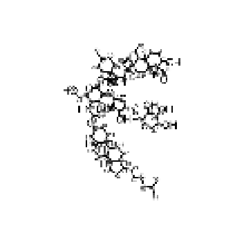 CCC1C2(C)CCC(O)C(C)(C=O)[C@@H]2CC[C@@]12C=C1C3C[C@H](C)CCC3(C(=O)O[C@@H]3O[C@H](CO)C(NC(=O)O[C@H]4CCC5(C)C6CCC7(C)C(CCCCC(C)C)CC[C@H]7[C@@H]6CC[C@H]5C4)C(O)C3O[C@@H]3O[C@H](CO[C@@H]4OC[C@@H](O)C(O)C4O)C(O)C3O)[C@H](O)C[C@]12C